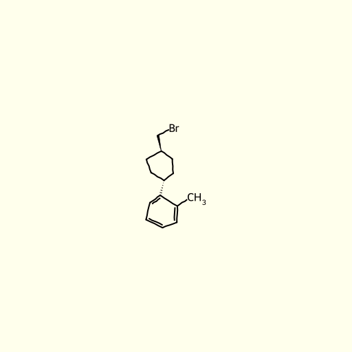 Cc1ccccc1[C@H]1CC[C@H](CBr)CC1